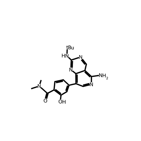 CN(C)C(=O)c1ccc(-c2cnc(N)c3cnc(NC(C)(C)C)nc23)cc1O